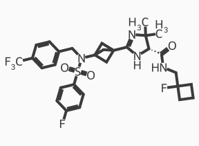 CC1(C)N=C(C23CC(N(Cc4ccc(C(F)(F)F)cc4)S(=O)(=O)c4ccc(F)cc4)(C2)C3)N[C@H]1C(=O)NCC1(F)CCC1